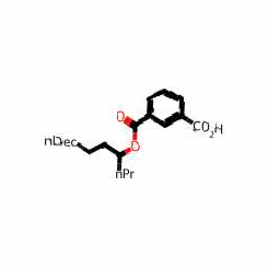 CCCCCCCCCCCCC(CCC)OC(=O)c1cccc(C(=O)O)c1